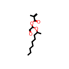 C=C(C)C(=O)OC(C=O)OC(C)CCCCCCC